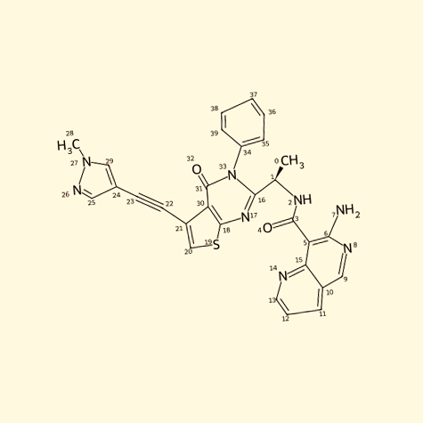 C[C@@H](NC(=O)c1c(N)ncc2cccnc12)c1nc2scc(C#Cc3cnn(C)c3)c2c(=O)n1-c1ccccc1